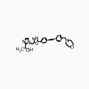 C[C@H](O)c1nccn1Cc1nnc(-c2ccc(C#Cc3ccc(CN4CCOCC4)cc3)cc2)o1